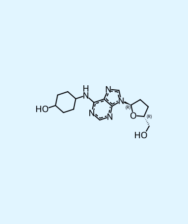 OC[C@H]1CC[C@H](n2cnc3c(NC4CCC(O)CC4)ncnc32)O1